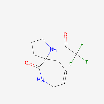 O=C1NCC=CCC12CCCN2.O=CC(F)(F)F